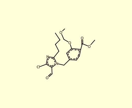 CCCCc1nc(Cl)c(C=O)n1Cc1ccc(C(=O)OC)c(OCOC)c1